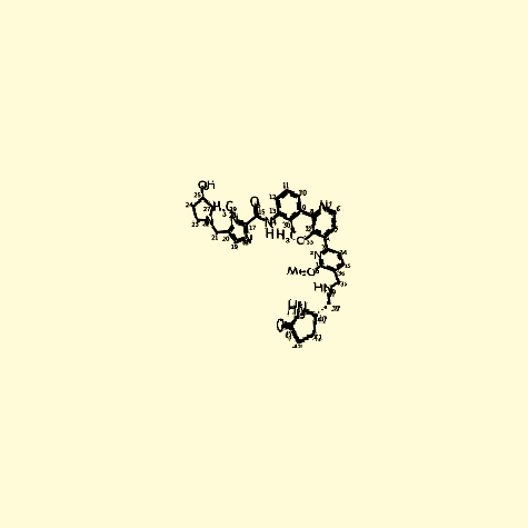 COc1nc(-c2ccnc(-c3cccc(NC(=O)c4ncc(CN5CC[C@@H](O)C5)n4C)c3C)c2Cl)ccc1CNC[C@@H]1CCC(=O)N1